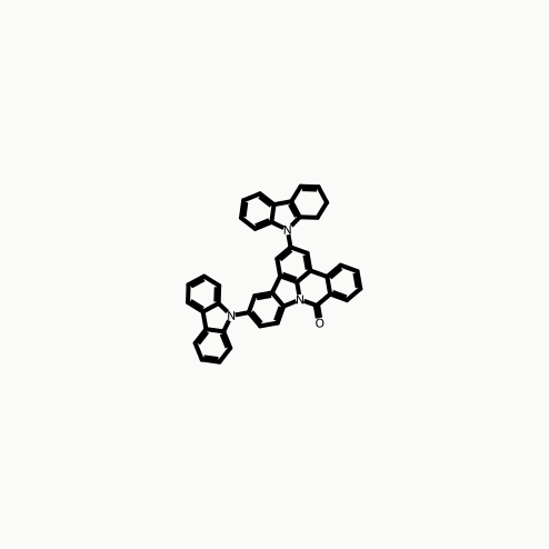 O=c1c2ccccc2c2cc(-n3c4c(c5ccccc53)C=CCC4)cc3c4cc(-n5c6ccccc6c6ccccc65)ccc4n1c23